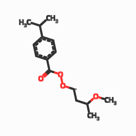 COC(C)C[CH]OOC(=O)c1ccc(C(C)C)cc1